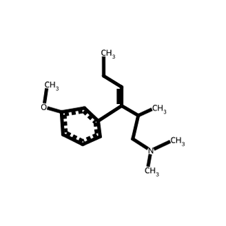 CC/C=C(\c1cccc(OC)c1)C(C)CN(C)C